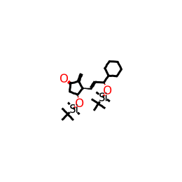 C=C1C(=O)C[C@@H](O[Si](C)(C)C(C)(C)C)[C@@H]1C=C[C@@H](O[Si](C)(C)C(C)(C)C)C1CCCCC1